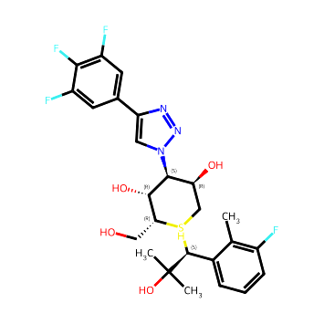 Cc1c(F)cccc1[C@H]([SH]1C[C@H](O)[C@H](n2cc(-c3cc(F)c(F)c(F)c3)nn2)[C@@H](O)[C@H]1CO)C(C)(C)O